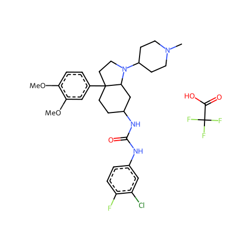 COc1ccc(C23CCC(NC(=O)Nc4ccc(F)c(Cl)c4)CC2N(C2CCN(C)CC2)CC3)cc1OC.O=C(O)C(F)(F)F